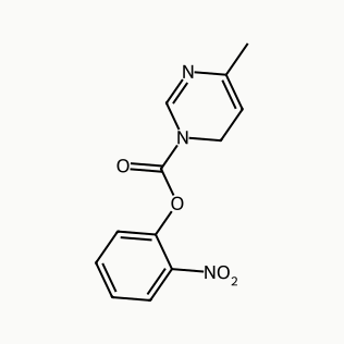 CC1=CCN(C(=O)Oc2ccccc2[N+](=O)[O-])C=N1